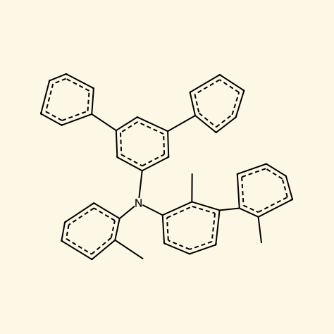 Cc1ccccc1-c1cccc(N(c2cc(-c3ccccc3)cc(-c3ccccc3)c2)c2ccccc2C)c1C